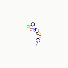 CC(C)N1CCC(Oc2cc3c(s2)CCN(C(=O)c2ccccc2Cl)C3)CC1